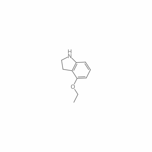 CCOc1cccc2c1CCN2